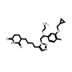 CCC[C@@H](Cn1nncc1CCCCC1CCC(=O)NC1=O)c1ccc(F)c(OCC2CC2)c1